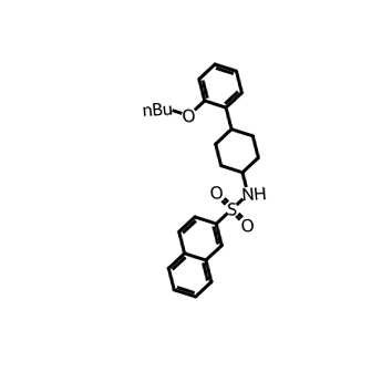 CCCCOc1ccccc1C1CCC(NS(=O)(=O)c2ccc3ccccc3c2)CC1